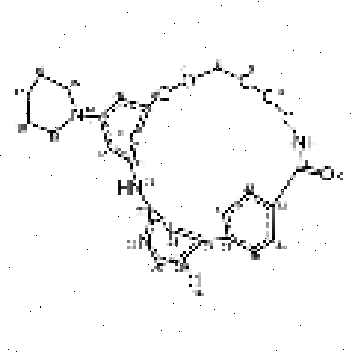 O=C1NCCCCOCc2cc(cc(N3CCCCC3)c2)Nc2ncc(Cl)c(n2)-c2ccc1cc2